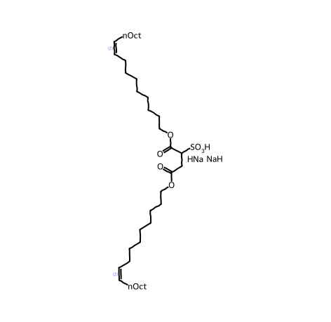 CCCCCCCC/C=C\CCCCCCCCOC(=O)CC(C(=O)OCCCCCCCC/C=C\CCCCCCCC)S(=O)(=O)O.[NaH].[NaH]